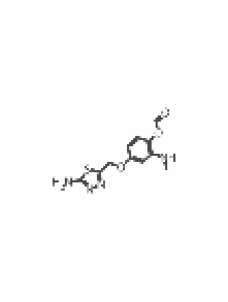 CNc1cc(OCc2nnc(N)s2)ccc1OC=O